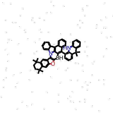 CC1(C)CCC(C)(C)c2cc3c4c(oc3cc21)Bc1c(-c2cccc3c2Nc2ccccc2C3(C)C)c2ccccc2c2c3ccccc3n-4c12